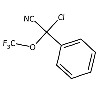 N#CC(Cl)(OC(F)(F)F)c1ccccc1